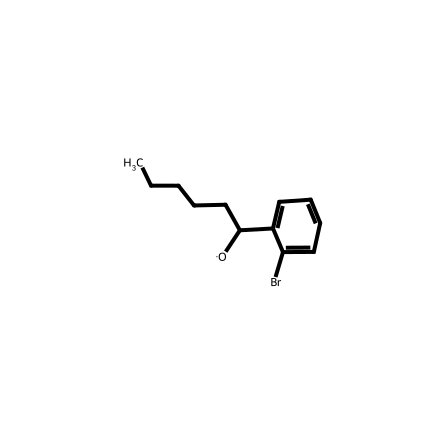 CCCCCC([O])c1ccccc1Br